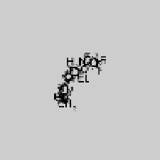 CCc1c(OC(N)c2cc(F)c(F)cc2F)ccc2ccc(-c3ccc(S(C)(=O)=O)cc3)cc12